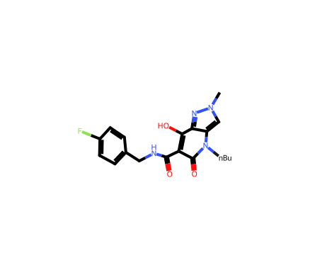 CCCCn1c(=O)c(C(=O)NCc2ccc(F)cc2)c(O)c2nn(C)cc21